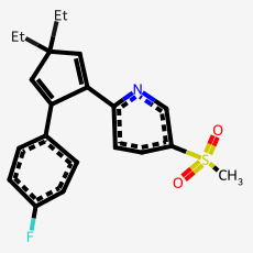 CCC1(CC)C=C(c2ccc(F)cc2)C(c2ccc(S(C)(=O)=O)cn2)=C1